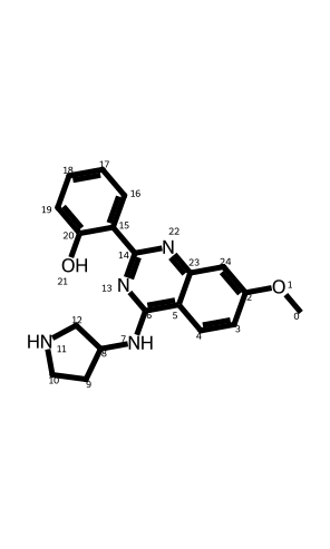 COc1ccc2c(NC3CCNC3)nc(-c3ccccc3O)nc2c1